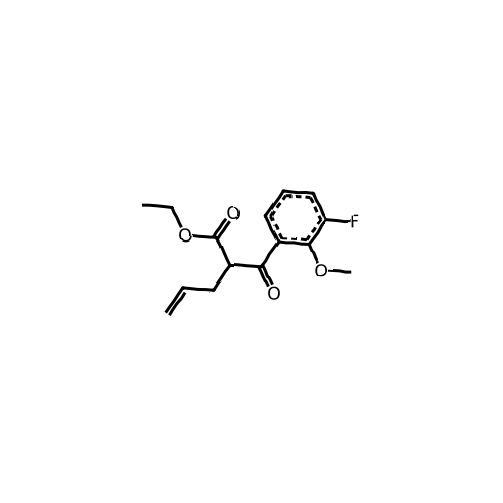 C=CCC(C(=O)OCC)C(=O)c1cccc(F)c1OC